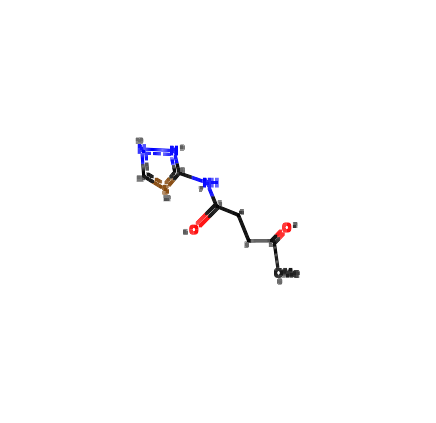 COC(=O)CCC(=O)Nc1nn[c]s1